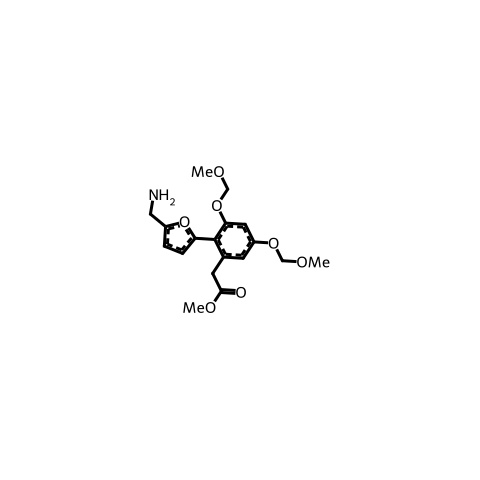 COCOc1cc(CC(=O)OC)c(-c2ccc(CN)o2)c(OCOC)c1